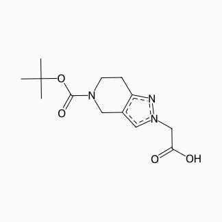 CC(C)(C)OC(=O)N1CCc2nn(CC(=O)O)cc2C1